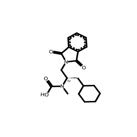 CN(C(=O)O)[C@@H](CC1CCCCC1)CN1C(=O)c2ccccc2C1=O